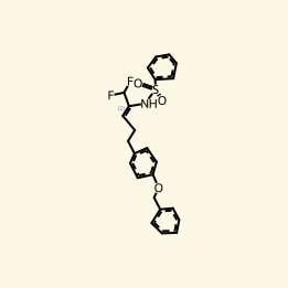 O=S(=O)(N/C(=C\CCc1ccc(OCc2ccccc2)cc1)C(F)F)c1ccccc1